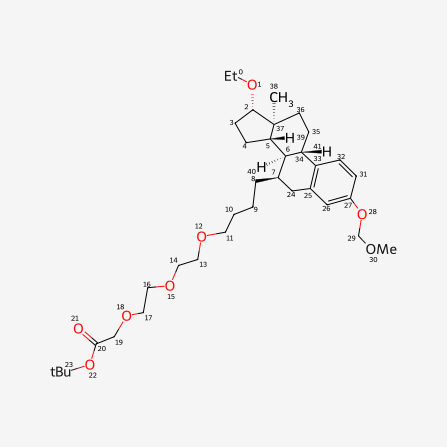 CCO[C@H]1CC[C@H]2[C@@H]3[C@H](CCCCOCCOCCOCC(=O)OC(C)(C)C)Cc4cc(OCOC)ccc4[C@H]3CC[C@]12C